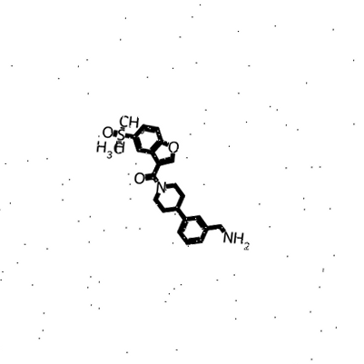 C[SH](C)(=O)c1ccc2occ(C(=O)N3CCC(c4cccc(CN)c4)CC3)c2c1